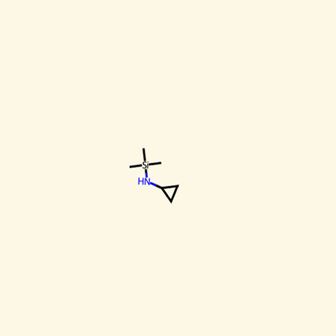 C[Si](C)(C)NC1CC1